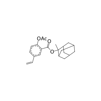 C=Cc1ccc(OC(C)=O)c(C(=O)OC2(C)C3CC4CC(C3)CC2C4)c1